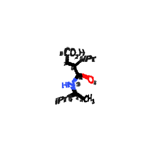 CC(C)C(C)NC(=O)C(CC(=O)O)C(C)C